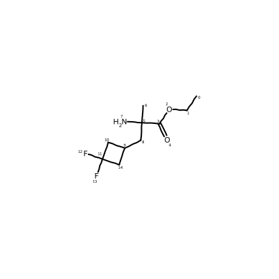 CCOC(=O)C(C)(N)CC1CC(F)(F)C1